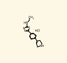 CCNc1nnc(-c2ccc(C3=CCNCC3)cc2)s1.Cl